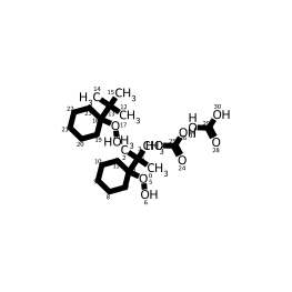 CC(C)(C)C1(OO)CCCCC1.CC(C)(C)C1(OO)CCCCC1.O=C(O)O.O=C(O)O